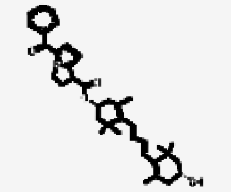 CC1=C(/C=C/C=C/C2=C(C)C[C@@H](OC(=O)C3CCn4c(C(=O)c5ccccc5)ccc43)CC2(C)C)C(C)(C)C[C@H](O)C1